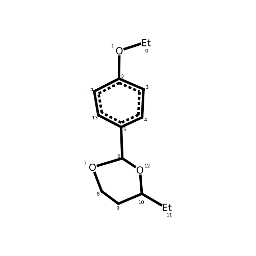 CCOc1ccc(C2OCCC(CC)O2)cc1